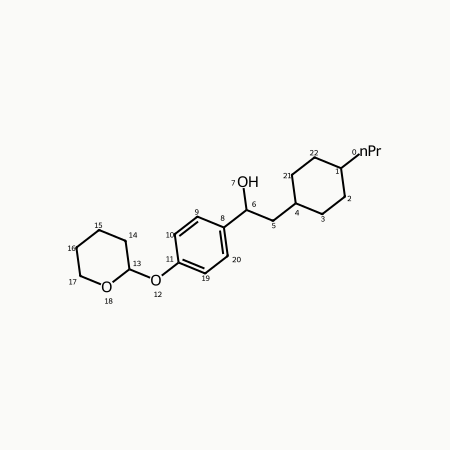 CCCC1CCC(CC(O)c2ccc(OC3CCCCO3)cc2)CC1